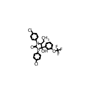 CCC1N(c2ccc(Cl)cc2)C(=O)N(c2ccc(Cl)cc2)C1(O)c1cccc(OC(F)(F)F)c1